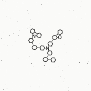 c1ccc(-c2ccccc2-c2cccc(N(c3ccc(-c4cccc(-c5cccc(-n6c7ccccc7c7ccccc76)c5)c4)cc3)c3ccc(-c4ccc5c(c4)oc4ccccc45)cc3)c2)cc1